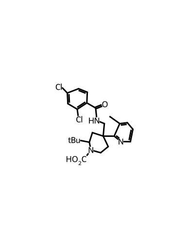 Cc1cccnc1C1(CNC(=O)c2ccc(Cl)cc2Cl)CCN(C(=O)O)C(C(C)(C)C)C1